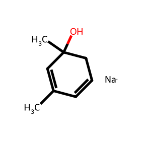 CC1=CC(C)(O)CC=C1.[Na]